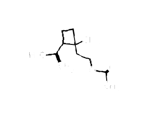 C=C(C)C1CCC1(C)CCOC(C)=O